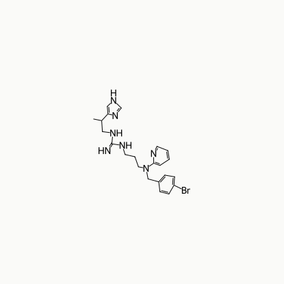 CC(CNC(=N)NCCCN(Cc1ccc(Br)cc1)c1ccccn1)c1c[nH]cn1